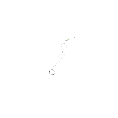 N#CC(F)=C[C@H]1CC[C@H]([C@H]2CC[C@H](CCCCc3ccc(OC(F)(F)F)cc3)CC2)CC1